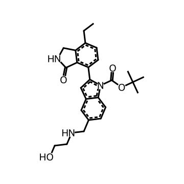 CCc1ccc(-c2cc3cc(CNCCO)ccc3n2C(=O)OC(C)(C)C)c2c1CNC2=O